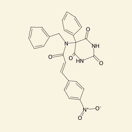 O=C1NC(=O)C(c2ccccc2)(N(Cc2ccccc2)C(=O)/C=C/c2ccc([N+](=O)[O-])cc2)C(=O)N1